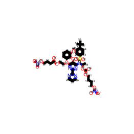 COc1ccccc1Oc1c(OCCOC(=O)CCCO[N+](=O)[O-])nc(-c2ncccn2)nc1N(C(C)OC(=O)OCCCCO[N+](=O)[O-])S(=O)(=O)c1ccc(C(C)(C)C)cc1